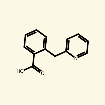 O=C(O)c1ccccc1Cc1ccccn1